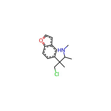 CNC(C)C(C)(CCl)c1ccc2occc2c1